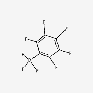 Fc1c(F)c(F)c([B-](F)(F)F)c(F)c1F